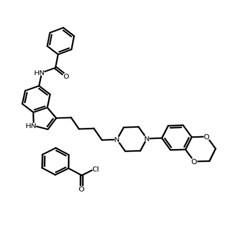 O=C(Cl)c1ccccc1.O=C(Nc1ccc2[nH]cc(CCCCN3CCN(c4ccc5c(c4)OCCO5)CC3)c2c1)c1ccccc1